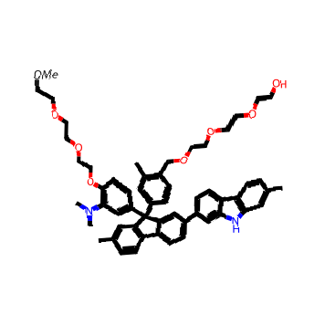 COCCOCCOCCOc1ccc(C2(c3ccc(COCCOCCOCCO)c(C)c3)c3cc(C)ccc3-c3ccc(-c4ccc5c(c4)[nH]c4cc(C)ccc45)cc32)cc1N(C)C